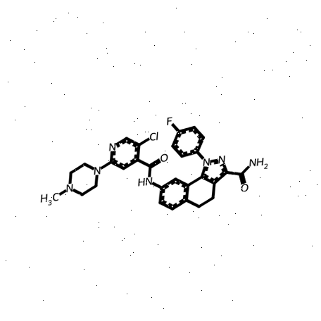 CN1CCN(c2cc(C(=O)Nc3ccc4c(c3)-c3c(c(C(N)=O)nn3-c3ccc(F)cc3)CC4)c(Cl)cn2)CC1